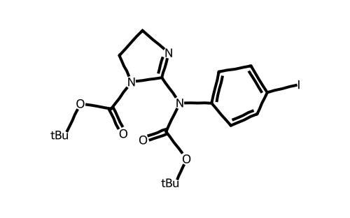 CC(C)(C)OC(=O)N1CCN=C1N(C(=O)OC(C)(C)C)c1ccc(I)cc1